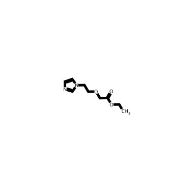 CCOC(=O)COCCn1ccnc1